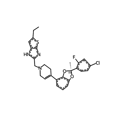 CCc1cc2[nH]c(CN3CC=C(c4cccc5c4O[C@@](C)(c4ccc(Cl)cc4F)O5)CC3)nc2s1